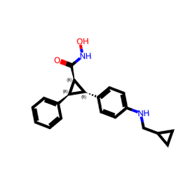 O=C(NO)[C@@H]1[C@H](c2ccccc2)[C@H]1c1ccc(NCC2CC2)cc1